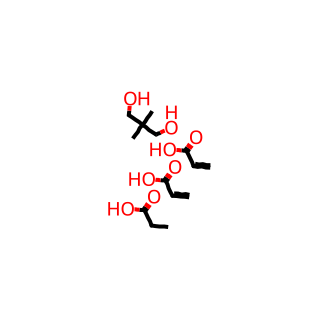 C=CC(=O)O.C=CC(=O)O.CC(C)(CO)CO.CCC(=O)O